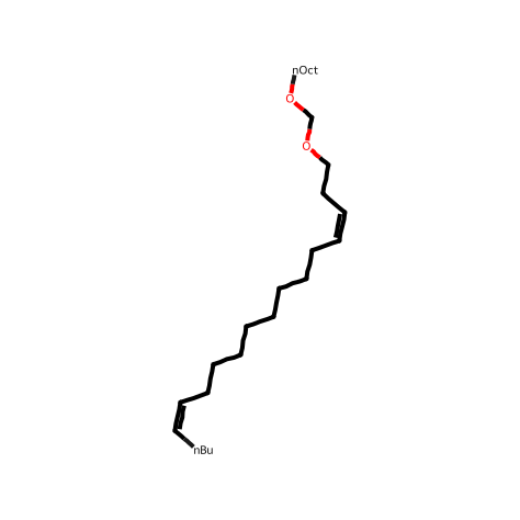 CCCC/C=C\CCCCCCCC/C=C\CCOCOCCCCCCCC